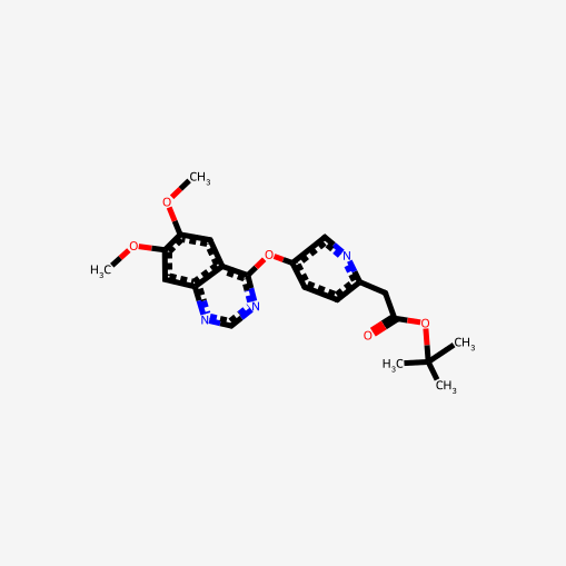 COc1cc2ncnc(Oc3ccc(CC(=O)OC(C)(C)C)nc3)c2cc1OC